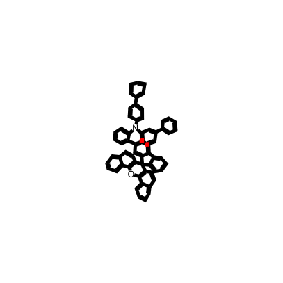 c1ccc(-c2ccc(N(c3cccc(-c4ccccc4)c3)c3ccccc3-c3ccc4c(c3)C3(c5ccccc5-4)c4ccc5ccccc5c4Oc4c3ccc3ccccc43)cc2)cc1